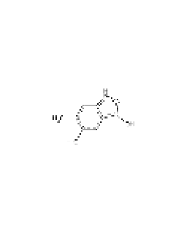 Cc1cc2[nH]nc(O)c2cc1C